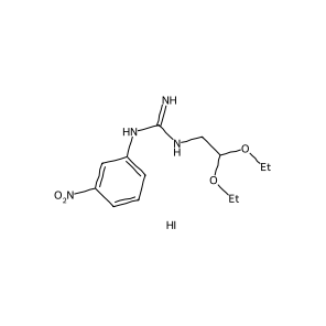 CCOC(CNC(=N)Nc1cccc([N+](=O)[O-])c1)OCC.I